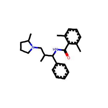 Cc1cccc(C)c1C(=O)NC(c1ccccc1)C(C)CN1CCCC1C